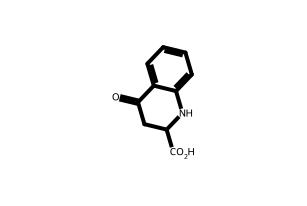 O=C1CC(C(=O)O)Nc2ccccc21